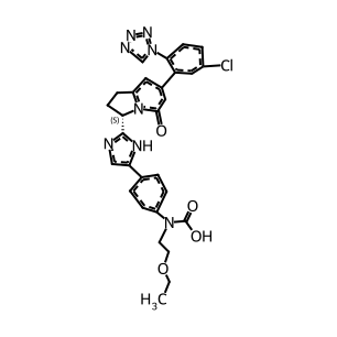 CCOCCN(C(=O)O)c1ccc(-c2cnc([C@@H]3CCc4cc(-c5cc(Cl)ccc5-n5cnnn5)cc(=O)n43)[nH]2)cc1